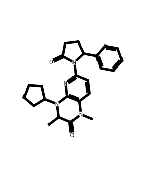 CC1C(=O)N(C)c2ccc(N3C(=O)CCC3c3ccccc3)nc2N1C1CCCC1